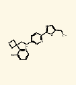 OCc1cnc(-c2ccc(NCC3(c4ncccc4F)CCC3)nn2)s1